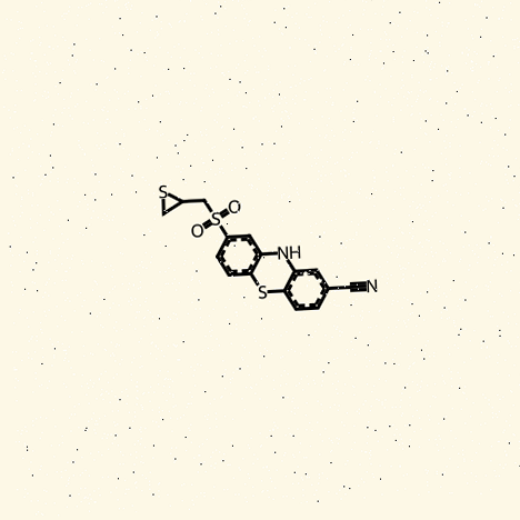 N#Cc1ccc2c(c1)Nc1cc(S(=O)(=O)CC3CS3)ccc1S2